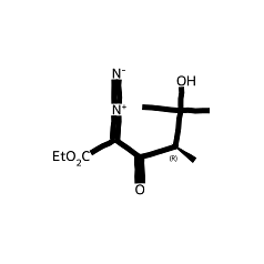 CCOC(=O)C(=[N+]=[N-])C(=O)[C@H](C)C(C)(C)O